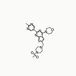 Cc1ncc(-c2nc(N3CCOCC3)c3cc(CN4CCN(S(C)(=O)=O)CC4)sc3n2)cn1